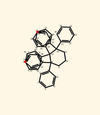 c1ccc(C2(c3ccccc3)CCCC(c3ccccc3)(c3ccccc3)C2(c2ccccc2)c2ccccc2)cc1